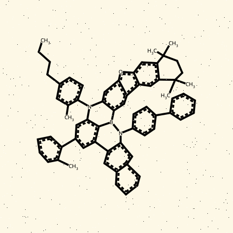 CCCCc1ccc(N2c3cc4oc5cc6c(cc5c4cc3B3c4c(cc(-c5ccccc5C)cc42)-c2cc4ccccc4cc2N3c2ccc(-c3ccccc3)cc2)C(C)(C)CCC6(C)C)c(C)c1